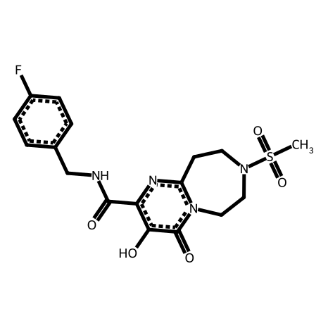 CS(=O)(=O)N1CCc2nc(C(=O)NCc3ccc(F)cc3)c(O)c(=O)n2CC1